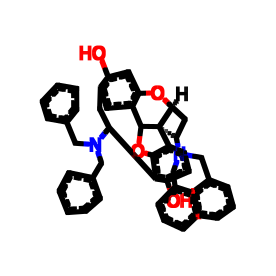 Oc1cc2c3cc1CC(N(Cc1ccccc1)Cc1ccccc1)c1c(O)ccc4c1OC3[C@]41C(N(Cc3ccccc3)Cc3ccccc3)C[C@@H]1O2